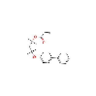 C=CC(=O)OC(C)(C)CC(C)(C)Oc1ccc(-c2ccccc2)cc1